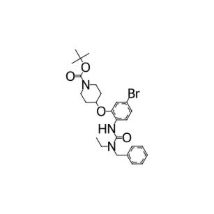 CCN(Cc1ccccc1)C(=O)Nc1ccc(Br)cc1OC1CCN(C(=O)OC(C)(C)C)CC1